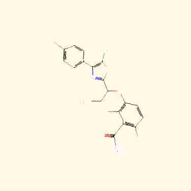 CCC(Oc1ccc(F)c(C(N)=O)c1F)c1nc(-c2ccc(Cl)cc2)c(Br)o1